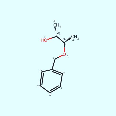 C[C@@H](O)[C@@H](C)OCc1ccccc1